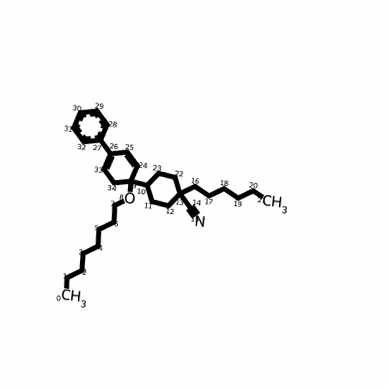 CCCCCCCCOC1(C2CCC(C#N)(CCCCCC)CC2)C=CC(c2ccccc2)=CC1